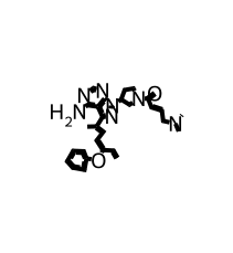 C=C/C(=C\C=C(/C)c1nn(C2CCN(C(=O)/C=C/CN(C)C)C2)c2ncnc(N)c12)Oc1ccccc1